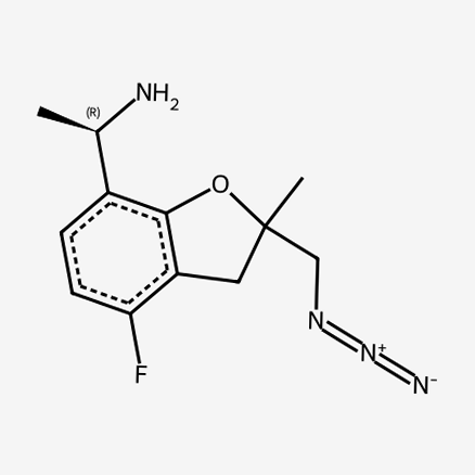 C[C@@H](N)c1ccc(F)c2c1OC(C)(CN=[N+]=[N-])C2